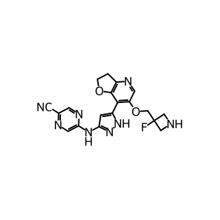 N#Cc1cnc(Nc2cc(-c3c(OCC4(F)CNC4)cnc4c3OCC4)[nH]n2)cn1